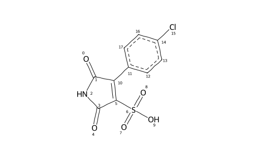 O=C1NC(=O)C(S(=O)(=O)O)=C1c1ccc(Cl)cc1